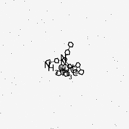 CC1(C)c2ccccc2-c2cccc(-c3cc(-c4cc(-c5ccc(-c6ccccc6)cc5)nc(-c5ccc(-c6cccnc6)cc5)n4)cc(-c4cccc5c4C(C)(C)c4ccccc4-5)c3)c21